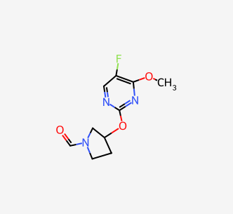 COc1nc(OC2CCN(C=O)C2)ncc1F